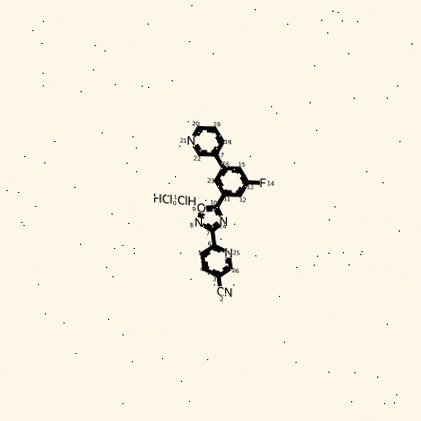 Cl.Cl.N#Cc1ccc(-c2noc(-c3cc(F)cc(-c4cccnc4)c3)n2)nc1